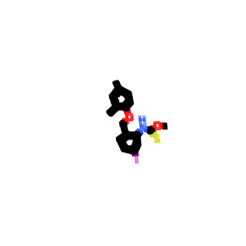 COC(=S)Nc1cc(I)ccc1COc1ccc(C)cc1C